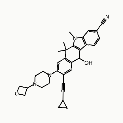 Cn1c2c(c3ccc(C#N)cc31)C(O)c1cc(C#CC3CC3)c(N3CCN(C4COC4)CC3)cc1C2(C)C